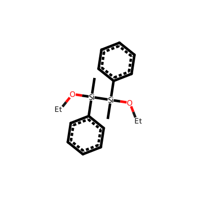 CCO[Si](C)(c1ccccc1)[Si](C)(OCC)c1ccccc1